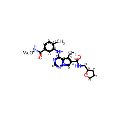 CONC(=O)c1ccc(C)c(Nc2ncnn3cc(C(=O)NCC4CCCO4)c(C)c23)c1